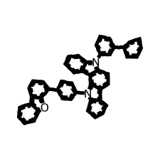 c1ccc(-c2cccc(-n3c4ccccc4c4c3ccc3c5ccccc5n(-c5ccc(-c6cccc7c6oc6ccccc67)cc5)c34)c2)cc1